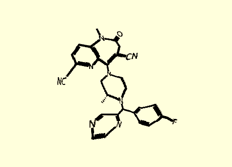 C[C@@H]1CN(c2c(C#N)c(=O)n(C)c3ccc(C#N)nc23)CCN1C(c1ccc(F)cc1)c1cnccn1